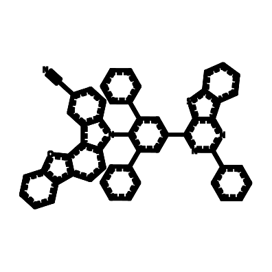 N#Cc1ccc2c(c1)c1c3oc4ccccc4c3ccc1n2-c1c(-c2ccccc2)cc(-c2nc(-c3ccccc3)nc3c2sc2ccccc23)cc1-c1ccccc1